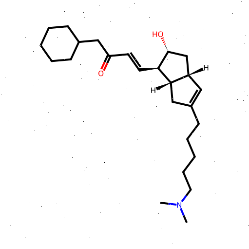 CN(C)CCCCCC1=C[C@H]2C[C@@H](O)[C@H](/C=C/C(=O)CC3CCCCC3)[C@H]2C1